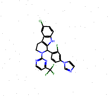 Fc1cc(-n2ccnc2)ccc1C1c2[nH]c3ccc(Cl)cc3c2CCN1c1nccc(C(F)(F)F)n1